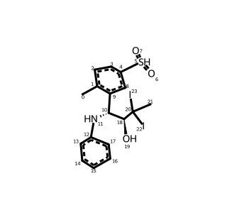 Cc1ccc([SH](=O)=O)cc1[C@@H](Nc1ccccc1)[C@H](O)C(C)(I)I